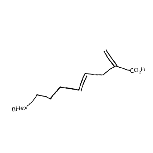 C=C(CC=CCCCCCCCCC)C(=O)O